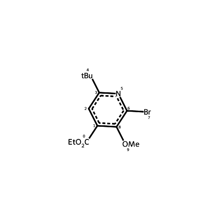 CCOC(=O)c1cc(C(C)(C)C)nc(Br)c1OC